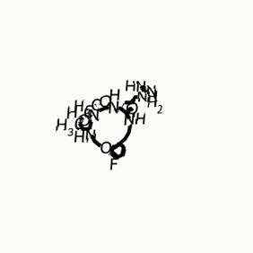 CCC1NCCOc2cc(F)ccc2CCCNC(=O)[C@@H](CCCNC(=N)N)NC(=O)[C@@H](C)N(C)C1=O